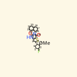 COc1cc(F)ccc1-c1cc2[nH]c(=O)n(-c3cccc4ccccc34)c(=O)c2s1